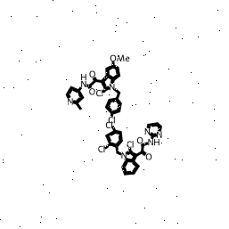 COc1ccc2c(c1)c(C(=O)C(=O)Nc1ccnc(C)c1)c(Cl)n2Cc1ccc(Cl)cc1.O=C(Nc1ncccn1)C(=O)c1c(Cl)n(Cc2ccc(Cl)cc2Cl)c2ccccc12